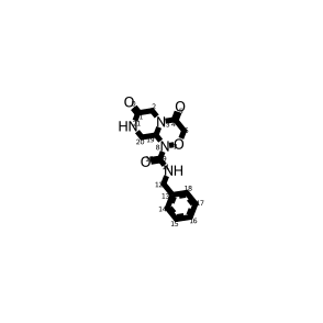 O=C1CN2C(=O)CON(C(=O)NCc3ccccc3)C2CN1